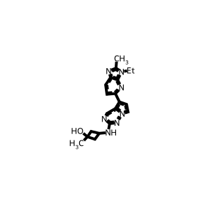 CCn1c(C)nc2ccc(-c3ccn4nc(NC5CC(C)(O)C5)ncc34)nc21